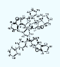 c1ccc(-c2ccc(N(c3ccc(-c4c(-c5ccc6oc7ccccc7c6c5-c5ccccc5)ccc5oc6ccccc6c45)cc3)c3ccc4c(c3)oc3ccccc34)cc2)cc1